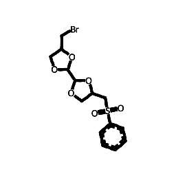 O=S(=O)(CC1COC(C2OCC(CBr)O2)O1)c1ccccc1